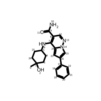 CC1(O)CCC(Nc2c(C(N)=O)cnn3cc(-c4ccccc4)cc23)CC1